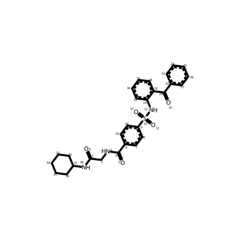 O=C(CNC(=O)c1ccc(S(=O)(=O)Nc2ccccc2C(=O)c2ccccc2)cc1)NC1CCCCC1